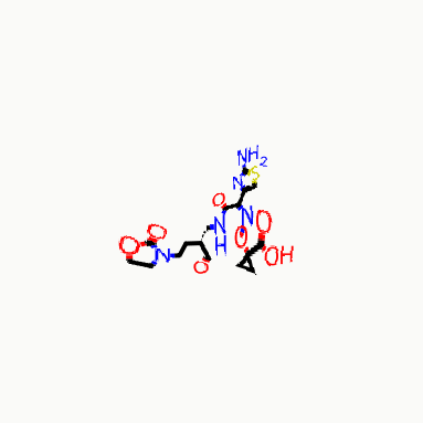 Nc1nc(/C(=N/OC2(C(=O)O)CC2)C(=O)NC[C@H](C=O)CCN2CCOC2=O)cs1